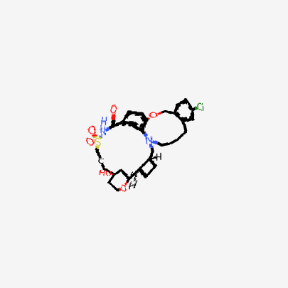 O=C1NS(=O)(=O)CCC[C@]2(O)CCO[C@@H](C2)[C@@H]2CC[C@H]2CN2CCCCc3cc(Cl)ccc3COc3ccc1cc32